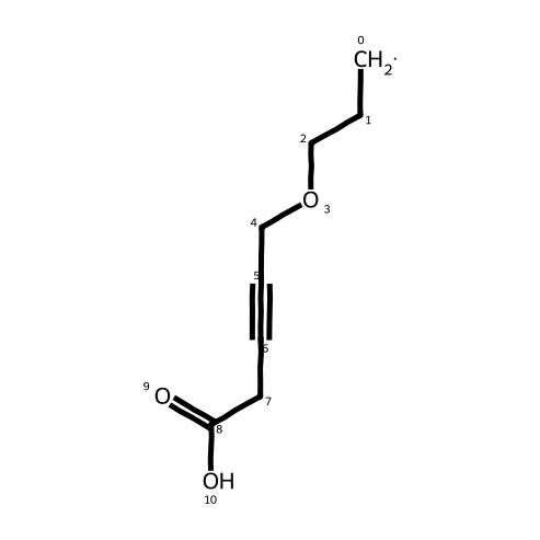 [CH2]CCOCC#CCC(=O)O